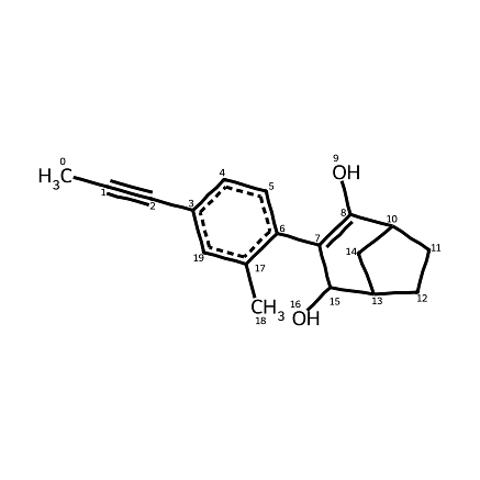 CC#Cc1ccc(C2=C(O)C3CCC(C3)C2O)c(C)c1